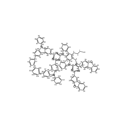 CCCCc1c(CCCC)c2c(c3ccccc3n2-c2nc(-c3ccc4oc5ccccc5c4c3)nc(-c3ccc4oc5ccccc5c4c3)n2)c2c1c1ccccc1n2-c1nc(-c2ccc3c(c2)c2cc(-c4ccccc4)ccc2n3-c2ccccc2)nc(-c2ccc3c(c2)c2cc(-c4ccccc4)ccc2n3-c2ccccc2)n1